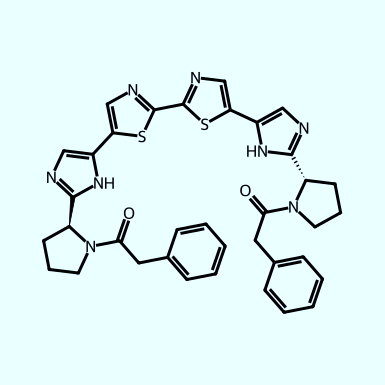 O=C(Cc1ccccc1)N1CCC[C@H]1c1ncc(-c2cnc(-c3ncc(-c4cnc([C@@H]5CCCN5C(=O)Cc5ccccc5)[nH]4)s3)s2)[nH]1